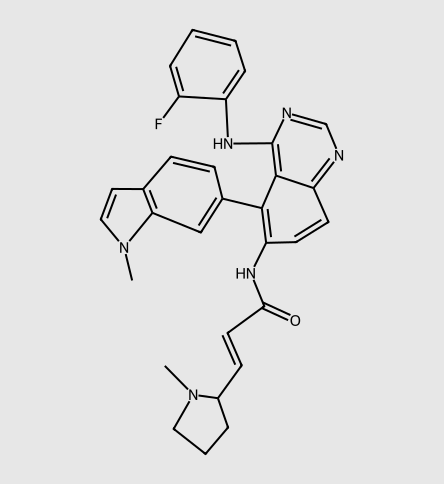 CN1CCCC1/C=C/C(=O)Nc1ccc2ncnc(Nc3ccccc3F)c2c1-c1ccc2ccn(C)c2c1